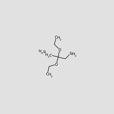 CCOC(C)(C[SiH3])OCC.[SiH4]